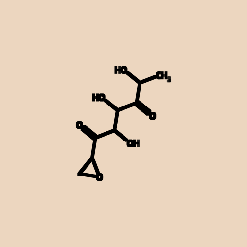 CC(O)C(=O)C(O)C(O)C(=O)C1CO1